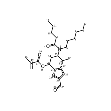 CCCCCCN(C(=O)CCCC)C(CC(OC(=O)NC)c1nc(C=O)cs1)C(C)C